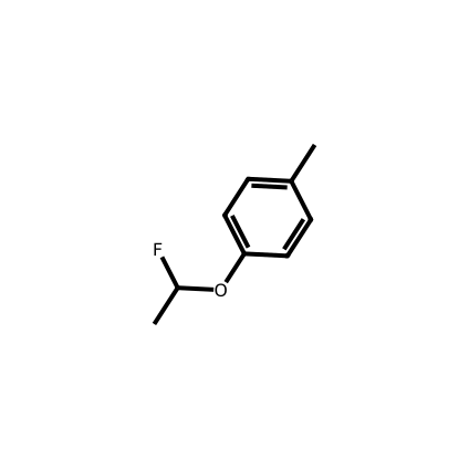 Cc1ccc(OC(C)F)cc1